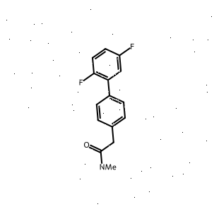 CNC(=O)Cc1ccc(-c2cc(F)ccc2F)cc1